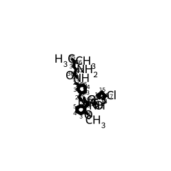 COc1cccc2c1c(NS(=O)(=O)c1ccc(Cl)s1)nn2Cc1cccc(CNC(=O)[C@H](N)CC(C)C)c1